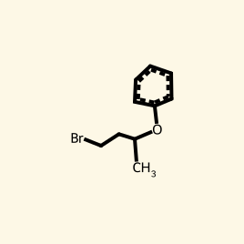 CC(CCBr)Oc1ccccc1